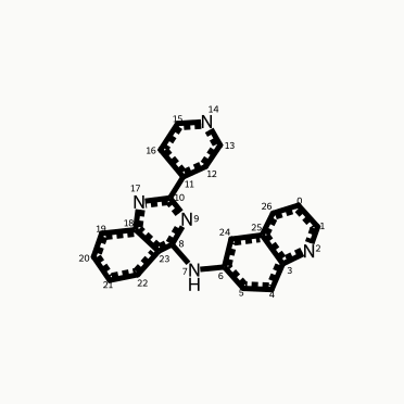 c1cnc2ccc(Nc3nc(-c4ccncc4)nc4ccccc34)cc2c1